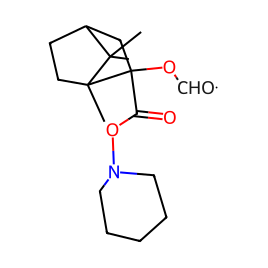 CC1(C)C2CCC1(C)C(O[C]=O)(C(=O)ON1CCCCC1)C2